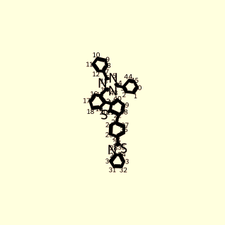 c1ccc(-c2nc(-c3ccccc3)nc(-c3cccc4sc5c(-c6ccc(-c7nc8ccccc8s7)cc6)cccc5c34)n2)cc1